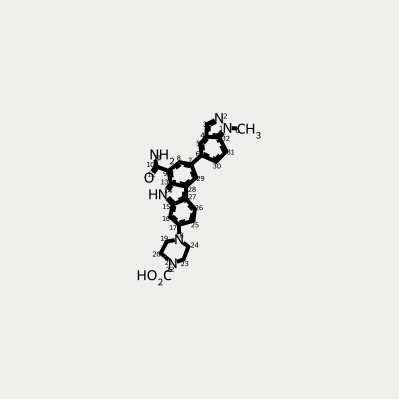 Cn1ncc2cc(-c3cc(C(N)=O)c4[nH]c5cc(N6CCN(C(=O)O)CC6)ccc5c4c3)ccc21